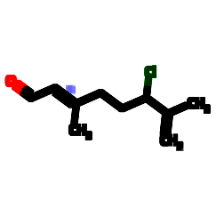 C=C(C)C(Cl)CC/C(C)=C/C=O